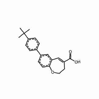 CC(C)(C)c1ccc(-c2ccc3c(c2)C=C(C(=O)O)CCO3)cc1